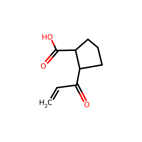 C=CC(=O)C1CCCC1C(=O)O